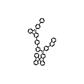 c1ccc(-c2ccc(-n3c4ccccc4c4cc(-c5ccc(-c6cccc(N(c7ccc(-c8ccc9ccccc9c8)cc7)c7ccc8c(c7)C7(c9ccccc9-c9ccccc97)c7ccccc7-8)c6)cc5)ccc43)cc2)cc1